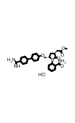 COC(=O)C[C@@H]1C[C@@H](COc2ccc(-c3ccc(C(=N)N)cc3)cc2)N(c2ccccc2C(N)=O)C1=O.Cl